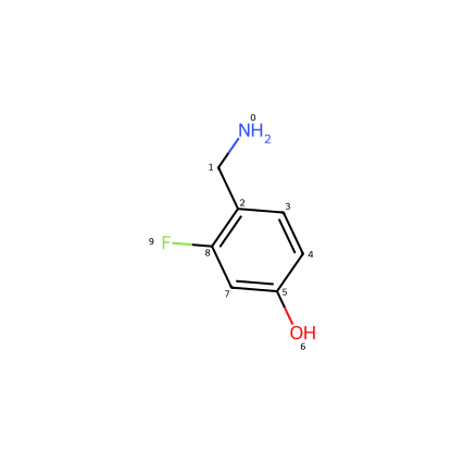 NCc1ccc(O)cc1F